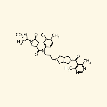 CCOC(=O)C(C)N1CC(C(=O)N(CCCN2CC3CN(C(=O)c4c(C)ncnc4C)CC3C2)c2ccc(C)c(Cl)c2)CC1=O